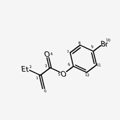 C=C(CC)C(=O)Oc1ccc(Br)cc1